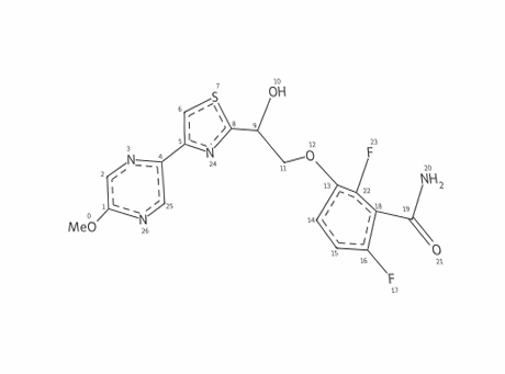 COc1cnc(-c2csc(C(O)COc3ccc(F)c(C(N)=O)c3F)n2)cn1